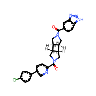 O=C(c1ccc2[nH]nnc2c1)N1C[C@@H]2[C@H](C1)[C@H]1CN(C(=O)c3ccc(-c4ccc(Cl)cc4)cn3)C[C@@H]21